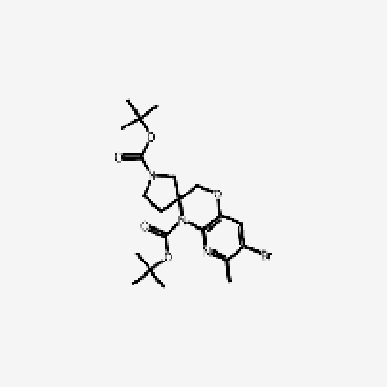 Cc1nc2c(cc1Br)OCC1(CCN(C(=O)OC(C)(C)C)C1)N2C(=O)OC(C)(C)C